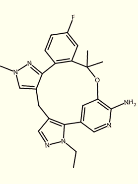 CCn1ncc2c1-c1cnc(N)c(c1)OC(C)(C)c1cc(F)ccc1-c1nn(C)cc1C2